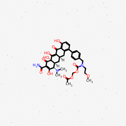 COCCN(Cc1ccc(-c2ccc(O)c3c2C[C@H]2C[C@H]4[C@H](N(C)C)C(O)=C(C(N)=O)C(=O)[C@@]4(O)C(O)=C2C3=O)cc1)C(=O)OCOC(C)=O